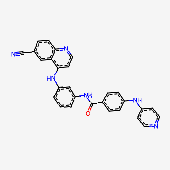 N#Cc1ccc2nccc(Nc3cccc(NC(=O)c4ccc(Nc5ccncc5)cc4)c3)c2c1